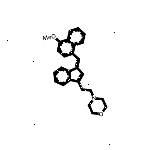 COc1ccc(/C=C2/C=C(CCN3CCOCC3)c3ccccc32)c2ccccc12